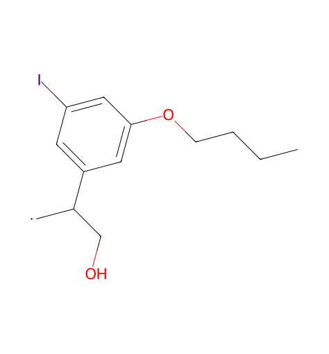 [CH2]C(CO)c1cc(I)cc(OCCCC)c1